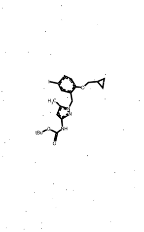 Cc1cc(NC(=O)OC(C)(C)C)nn1Cc1cc(I)ccc1OCC1CC1